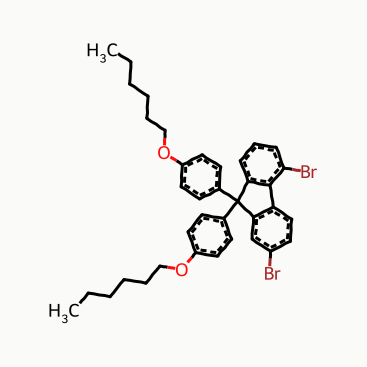 CCCCCCOc1ccc(C2(c3ccc(OCCCCCC)cc3)c3cc(Br)ccc3-c3c(Br)cccc32)cc1